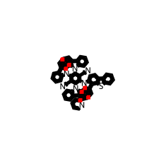 N#Cc1c(-n2c3ccccc3c3ccccc32)c(-n2c3ccccc3c3ccccc32)c(C#N)c(-n2c3cc(-c4ccccn4)ccc3c3c4sc5ccccc5c4ccc32)c1-n1c2ccccc2c2ccccc21